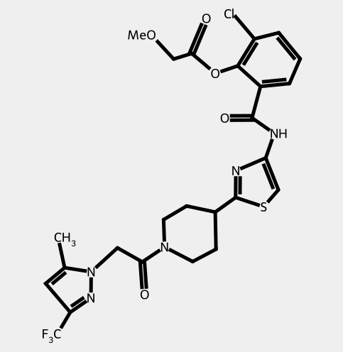 COCC(=O)Oc1c(Cl)cccc1C(=O)Nc1csc(C2CCN(C(=O)Cn3nc(C(F)(F)F)cc3C)CC2)n1